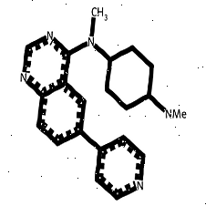 CNC1CCC(N(C)c2ncnc3ccc(-c4ccncc4)cc23)CC1